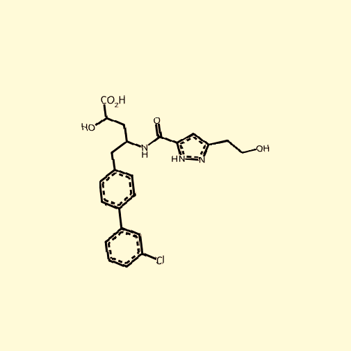 O=C(NC(Cc1ccc(-c2cccc(Cl)c2)cc1)CC(O)C(=O)O)c1cc(CCO)n[nH]1